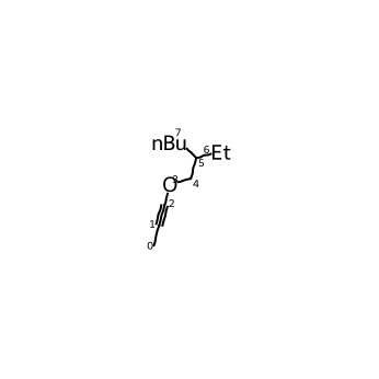 CC#COCC(CC)CCCC